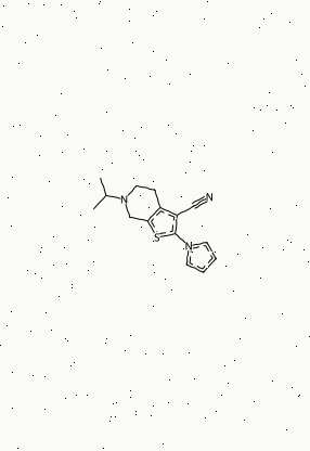 CC(C)N1CCc2c(sc(-n3cccc3)c2C#N)C1